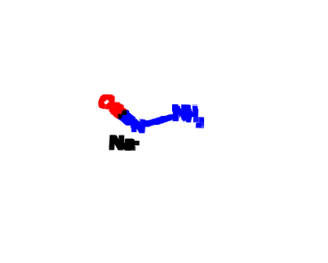 NN=O.[Na]